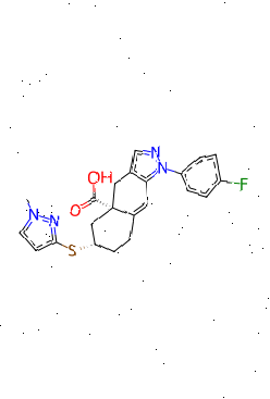 Cn1ccc(S[C@H]2CCC3=Cc4c(cnn4-c4ccc(F)cc4)C[C@]3(C(=O)O)C2)n1